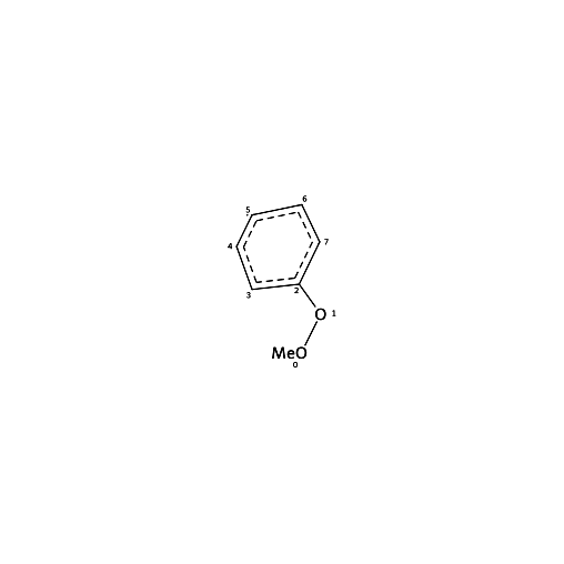 COOc1cc[c]cc1